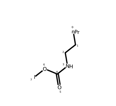 CCCCCNC(=O)OI